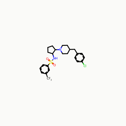 O=S(=O)(NC1CCCC1N1CCC(Cc2ccc(Cl)cc2)CC1)c1cccc(C(F)(F)F)c1